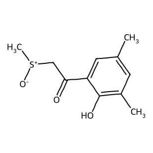 Cc1cc(C)c(O)c(C(=O)C[S+](C)[O-])c1